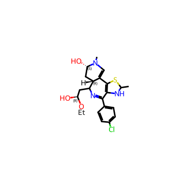 CCO[C@@H](O)CC1N=C(c2ccc(Cl)cc2)C2=C(SC(C)N2)C2=CN(C)[C@@H](O)C[C@H]21